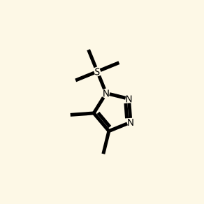 Cc1nnn(S(C)(C)C)c1C